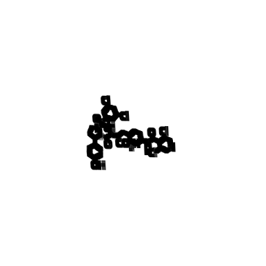 O=C(Nc1ccc(C[C@H](NC(=O)[C@@H]2C(c3ccc(O)cc3)CCN2S(=O)(=O)c2cc(Cl)cc(Cl)c2)C(=O)O)cc1)c1c(Cl)cncc1Cl